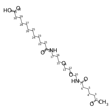 CC(=O)CCCCC(=O)NCOCCOCCCNC(=O)CCCCCCCCCCC(=O)O